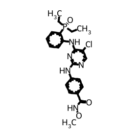 CCP(=O)(CC)c1ccccc1Nc1nc(Nc2ccc(C(=O)NOC)cc2)ncc1Cl